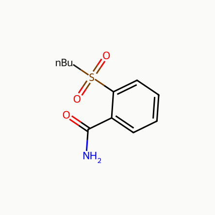 CCCCS(=O)(=O)c1ccccc1C(N)=O